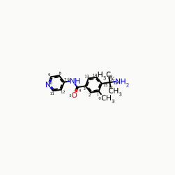 Cc1cc(C(=O)Nc2ccncc2)ccc1C(C)(C)N